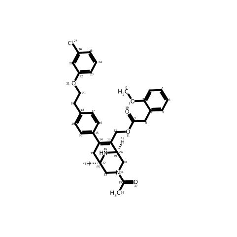 COc1ccccc1CC(=O)OCC1=C(c2ccc(CCOc3cccc(Cl)c3)cc2)C[C@@H]2CN(C(C)=O)C[C@H]1N2